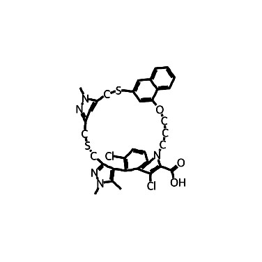 Cc1c2c(nn1C)CSCc1cc(n(C)n1)CSc1cc(c3ccccc3c1)OCCCn1c(C(=O)O)c(Cl)c3c-2c(Cl)ccc31